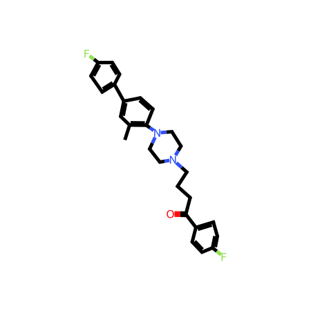 Cc1cc(-c2ccc(F)cc2)ccc1N1CCN(CCCC(=O)c2ccc(F)cc2)CC1